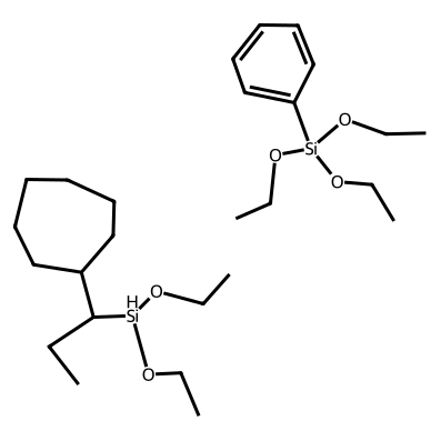 CCO[SiH](OCC)C(CC)C1CCCCCC1.CCO[Si](OCC)(OCC)c1ccccc1